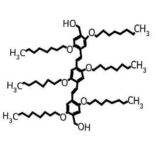 CCCCCCCCOc1cc(C=Cc2cc(OCCCCCCCC)c(CO)cc2OCCCCCCCC)c(OCCCCCCCC)cc1C=Cc1cc(OCCCCCCCC)c(CO)cc1OCCCCCCCC